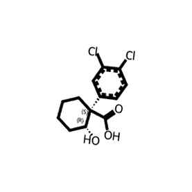 O=C(O)[C@]1(c2ccc(Cl)c(Cl)c2)CCCC[C@H]1O